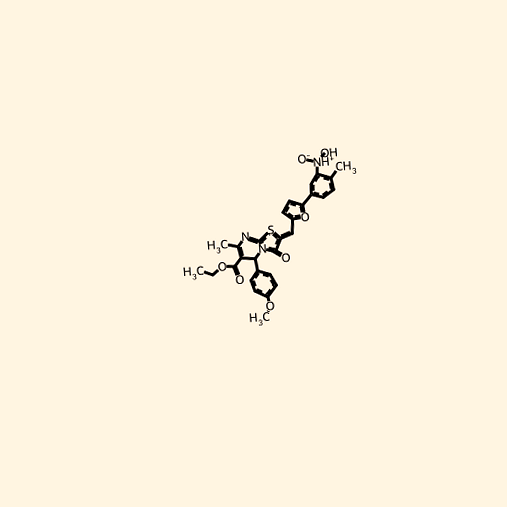 CCOC(=O)C1=C(C)N=c2s/c(=C\c3ccc(-c4ccc(C)c([NH+]([O-])O)c4)o3)c(=O)n2C1c1ccc(OC)cc1